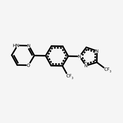 FC(F)(F)c1ncn(-c2ccc(C3=NNC=CO3)cc2C(F)(F)F)n1